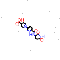 O=C1CCC(NC(=O)c2ccc(N3CCC(C(=O)O)CC3)cn2)C(=O)N1